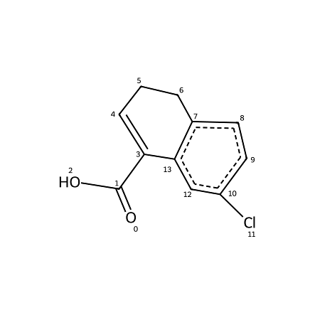 O=C(O)C1=CCCc2ccc(Cl)cc21